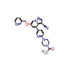 CC(=O)N1CCN(c2ccc(-c3cc(OCc4cccnc4)cn4ncc(C#N)c34)cn2)CC1